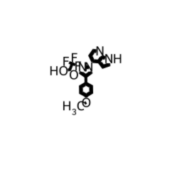 COc1ccc(-c2cnn(-c3ccnc4[nH]ccc34)c2)cc1.O=C(O)C(F)(F)F